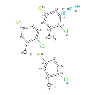 Cc1cc([S])ccc1Cl.Cc1cc([S])ccc1Cl.Cc1cc([S])ccc1Cl.F.F.F